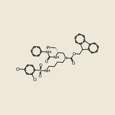 CC(C)C[C@H](CN(CCCCNS(=O)(=O)c1ccc(Cl)cc1Cl)C(=O)OCC1c2ccccc2-c2ccccc21)NC(=O)Nc1ccccc1